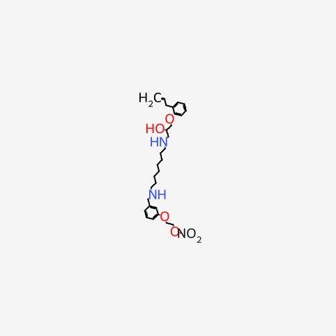 C=CCc1ccccc1OCC(O)CNCCCCCCCCNCc1cccc(OCCO[N+](=O)[O-])c1